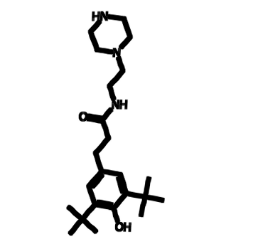 CC(C)(C)c1cc(CCC(=O)NCCN2CCNCC2)cc(C(C)(C)C)c1O